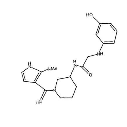 CNc1[nH]ccc1C(=N)N1CCCC(NC(=O)CNc2cccc(O)c2)C1